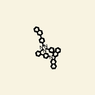 c1ccc(-c2nc(-c3ccc(-c4ccc5ccccc5c4)cc3)nc(-c3ccccc3-c3ccc(-n4c5cc6ccccc6cc5c5cc6ccccc6cc54)cc3)n2)cc1